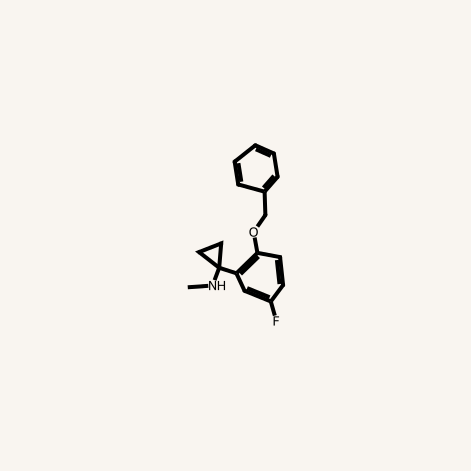 CNC1(c2cc(F)ccc2OCc2ccccc2)CC1